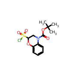 CC(C)(C)OC(=O)N1CC(S(=O)(=O)Cl)Oc2ccccc21